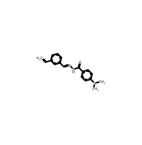 C=Cc1cccc(/C=N/NC(=O)c2ccc(N(C)C)cc2)c1